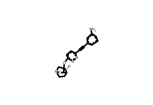 Nc1cccc(C#Cc2ccc(O[C@@H]3CN4CCC3CC4)nn2)c1